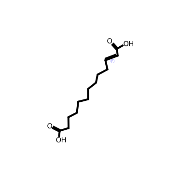 O=C(O)/C=C/CCCCCCCCCC(=O)O